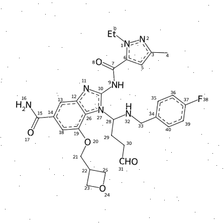 CCn1nc(C)cc1C(=O)Nc1nc2cc(C(N)=O)cc(OCC3COC3)c2n1C(CCC=O)NCc1ccc(F)cc1